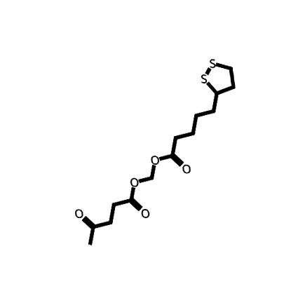 CC(=O)CCC(=O)OCOC(=O)CCCCC1CCSS1